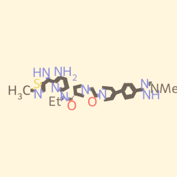 CCN(C(=O)[C@@H]1CCN(CC(=O)N2CC=C(c3ccc(C(=N)/N=C\NC)cc3)CC2)C1)c1ccc(N)c(C(=N)c2cnc(C)s2)n1